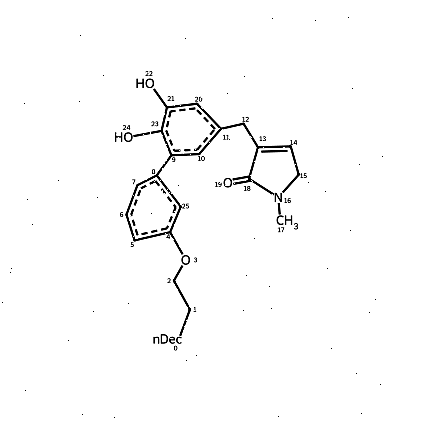 CCCCCCCCCCCCOc1cccc(-c2cc(CC3=CCN(C)C3=O)cc(O)c2O)c1